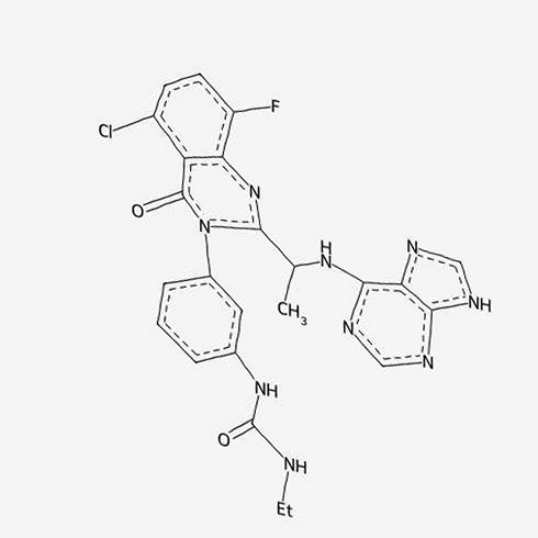 CCNC(=O)Nc1cccc(-n2c(C(C)Nc3ncnc4[nH]cnc34)nc3c(F)ccc(Cl)c3c2=O)c1